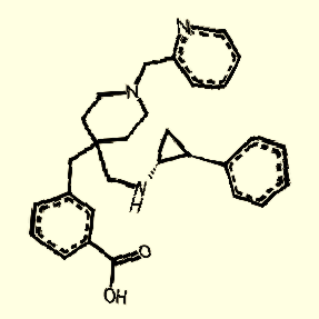 O=C(O)c1cccc(CC2(CN[C@@H]3C[C@H]3c3ccccc3)CCN(Cc3ccccn3)CC2)c1